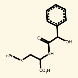 CCCSCC(NC(=O)C(O)c1ccccc1)C(=O)O